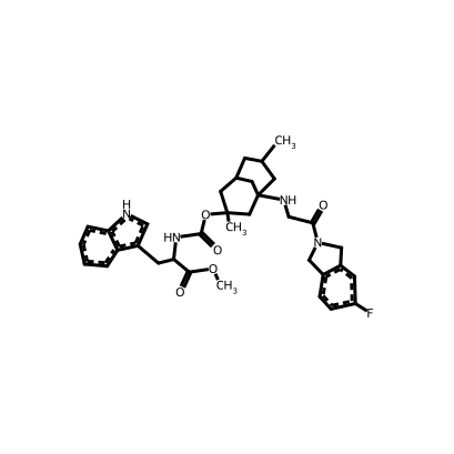 COC(=O)C(Cc1c[nH]c2ccccc12)NC(=O)OC1(C)CC2CC(C)CC(NCC(=O)N3Cc4ccc(F)cc4C3)(C2)C1